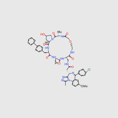 COc1ccc2c(c1)C(c1ccc(Cl)cc1)=N[C@@H](CC(=O)NC[C@H]1NC(=O)[C@@H](C(C)C)NC(=O)[C@@H](Cc3ccc(-c4ccccc4)cc3)NC(=O)[C@@H]3C[C@@H](O)CN3C(=O)[C@H](C(C)(C)C)NC(=O)COCCNC1=O)c1nnc(C)n1-2